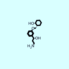 NCC[C@@H](O)c1cccc(OC[C@H]2CCCC[C@H]2O)c1